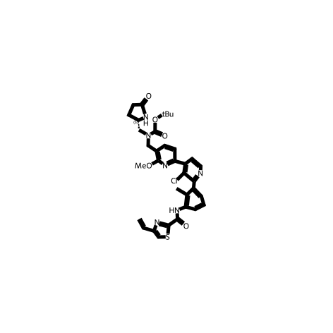 C=Cc1csc(C(=O)Nc2cccc(-c3nccc(-c4ccc(CN(C[C@@H]5CCC(=O)N5)C(=O)OC(C)(C)C)c(OC)n4)c3Cl)c2C)n1